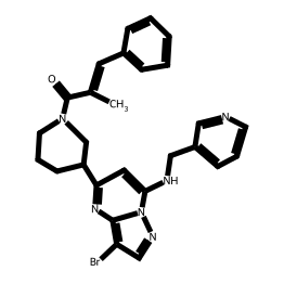 C/C(=C\c1ccccc1)C(=O)N1CCCC(c2cc(NCc3cccnc3)n3ncc(Br)c3n2)C1